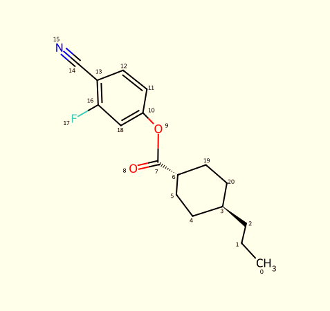 CCC[C@H]1CC[C@H](C(=O)Oc2ccc(C#N)c(F)c2)CC1